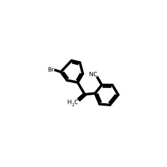 C=C(c1cccc(Br)c1)c1ccccc1C#N